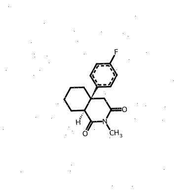 CN1C(=O)C[C@@]2(c3ccc(F)cc3)CCCC[C@@H]2C1=O